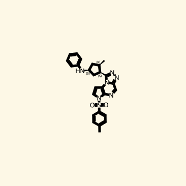 Cc1ccc(S(=O)(=O)n2ccc3c2ncc2nnc([C@H]4C[C@@H](Nc5ccccc5)C[C@H]4C)n23)cc1